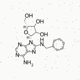 Nc1ncnc2c1nc(NCc1ccccc1)n2[C@@H]1O[C@H](CO)C(O)C1O